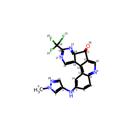 Cn1cc(Nc2ccc3ncc4c(c3c2)-c2cnc(C(F)(F)F)nc2C4=O)cn1